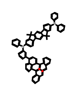 CC1(C)c2cc(N(c3ccccc3)c3ccccc3)ccc2-c2cc3c(cc21)-c1ccc(N(c2ccccc2)c2cccc(-c4ccc(-c5cccc6ccccc56)c5c(-c6cccc7ccccc67)cccc45)c2)cc1C3(C)C